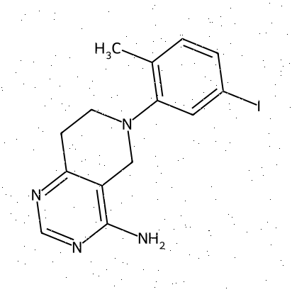 Cc1ccc(I)cc1N1CCc2ncnc(N)c2C1